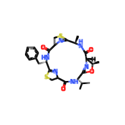 CC(C)[C@@H]1NC(=O)C2CSC(=N2)[C@H](Cc2ccccc2)NC(=O)C2CSC(=N2)[C@@H](C)NC(=O)[C@H]2N=C1O[C@@H]2C